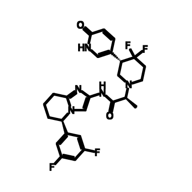 C[C@@H](C(=O)Nc1cn2c(n1)CCC[C@@H]2c1cc(F)cc(F)c1)N1CCC(F)(F)[C@@H](c2ccc(=O)[nH]c2)C1